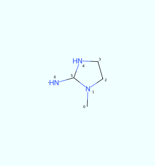 CN1CCNC1[NH]